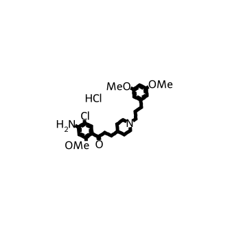 COc1cc(CCCN2CCC(CCC(=O)c3cc(Cl)c(N)cc3OC)CC2)cc(OC)c1.Cl